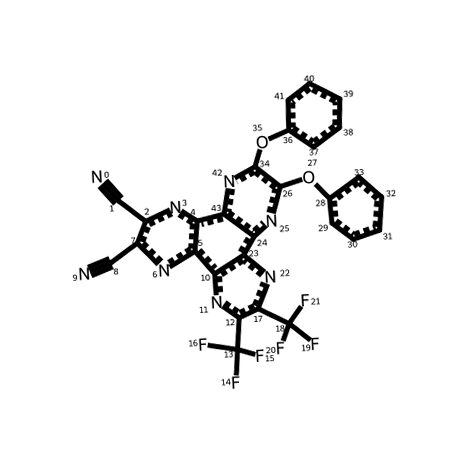 N#Cc1nc2c(nc1C#N)c1nc(C(F)(F)F)c(C(F)(F)F)nc1c1nc(Oc3ccccc3)c(Oc3ccccc3)nc21